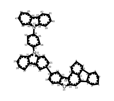 c1ccc2c(c1)-c1cccc3c1c-2cc1oc2ccc(-c4ccc5c(c4)c4ccccc4n5-c4ccc(-n5c6ccccc6c6ccccc65)cc4)cc2c13